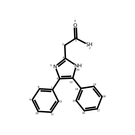 O=C(S)Cc1nc(-c2ccccc2)c(-c2ccccc2)[nH]1